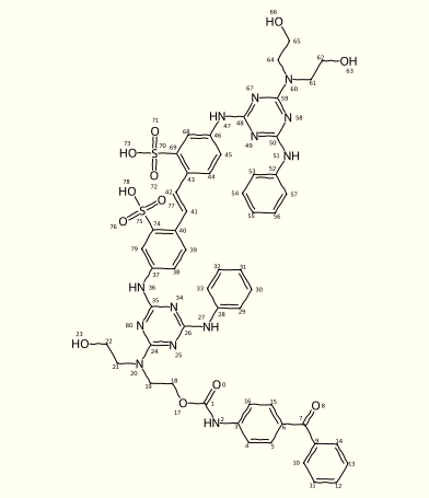 O=C(Nc1ccc(C(=O)c2ccccc2)cc1)OCCN(CCO)c1nc(Nc2ccccc2)nc(Nc2ccc(/C=C/c3ccc(Nc4nc(Nc5ccccc5)nc(N(CCO)CCO)n4)cc3S(=O)(=O)O)c(S(=O)(=O)O)c2)n1